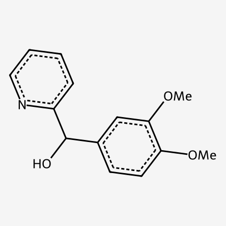 COc1ccc(C(O)c2ccccn2)cc1OC